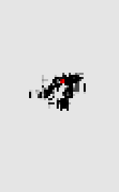 CC[C@H](C)NC(=O)COc1cccc(-c2nc(Nc3ccc(-c4cn[nH]c4)cc3)c3cc(F)ccc3n2)c1